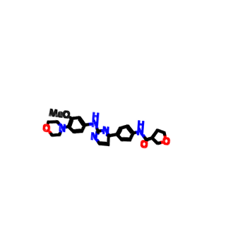 COc1cc(Nc2nccc(-c3ccc(NC(=O)C4CCOC4)cc3)n2)ccc1N1CCOCC1